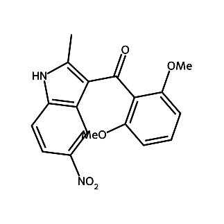 COc1cccc(OC)c1C(=O)c1c(C)[nH]c2ccc([N+](=O)[O-])cc12